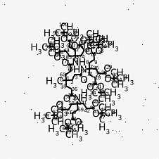 CC(CCC(=O)NC(CCC(=O)OC(C)(C)C)(CCC(=O)OC(C)(C)C)CCC(=O)OC(C)(C)C)(CCC(=O)NC(CCC(=O)OC(C)(C)C)(CCC(=O)OC(C)(C)C)CCC(=O)OC(C)(C)C)CCC(=O)NC(CCC(=O)OC(C)(C)C)(CCC(=O)OC(C)(C)C)CCC(=O)OC(C)(C)C